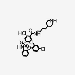 Cl.O=C(NCCCCC1CCNCC1)c1ccc(S(=O)(=O)Nc2ccccc2Oc2ccc(Cl)cc2Cl)cc1